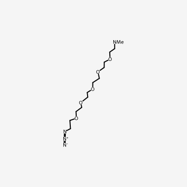 CNCCOCCOCCOCCOCCOCCN=[N+]=[N-]